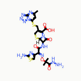 Cc1cc(SCC2=C(C(=O)O)N3C(=O)C(NC(=O)C(=NOC(C)(C)C(=O)NN)c4csc(N)n4)[C@@H]3SC2)n2nnnc2n1